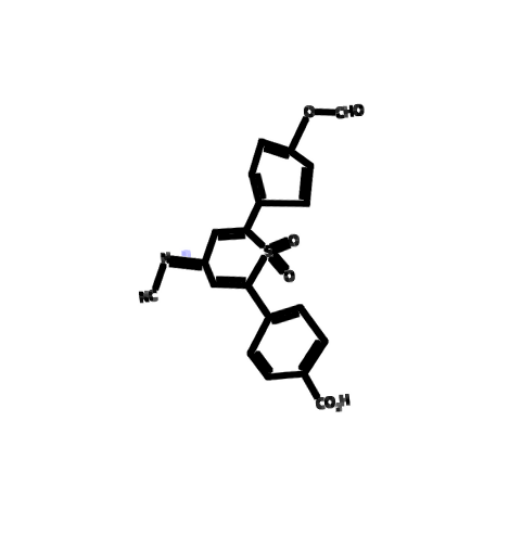 N#C/N=C1/C=C(c2ccc(OC=O)cc2)S(=O)(=O)C(c2ccc(C(=O)O)cc2)=C1